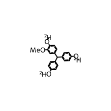 [2H]Oc1ccc(C(c2ccc(O[2H])cc2)c2ccc(O[2H])c(OC)c2)cc1